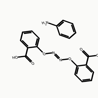 Nc1ccccc1.O=C(O)c1ccccc1ON=NOc1ccccc1C(=O)O